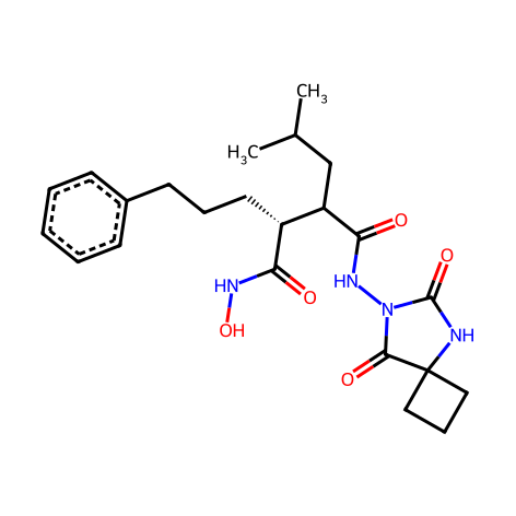 CC(C)CC(C(=O)NN1C(=O)NC2(CCC2)C1=O)[C@@H](CCCc1ccccc1)C(=O)NO